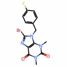 Cn1c(=O)c2nc(Br)n(Cc3ccc(F)cc3)c2n(C)c1=O